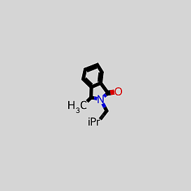 CC(C)CN1C(=O)c2ccccc2C1C